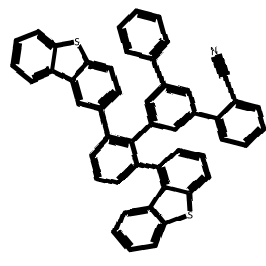 N#Cc1ccccc1-c1cc(-c2ccccc2)cc(-c2c(-c3ccc4sc5ccccc5c4c3)cccc2-c2cccc3sc4ccccc4c23)c1